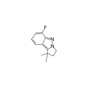 CC1(C)CCn2nc3c(F)cccc3c21